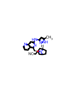 Cc1cc(Nc2cc3ncccc3c(C[C@@H]3CC4CC[C@@H](C3)N4CCC#N)n2)n[nH]1